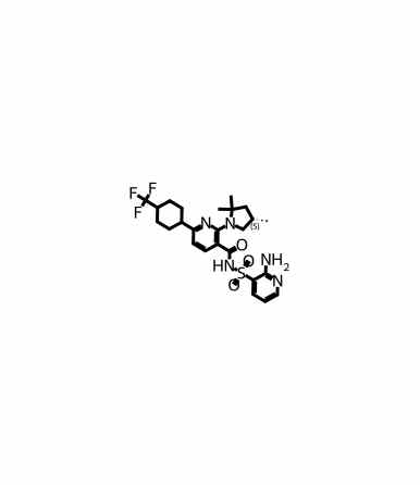 C[C@@H]1CN(c2nc(C3CCC(C(F)(F)F)CC3)ccc2C(=O)NS(=O)(=O)c2cccnc2N)C(C)(C)C1